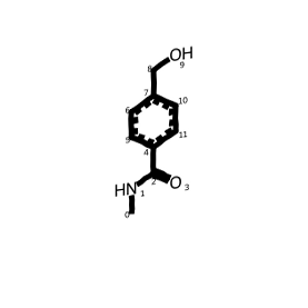 CNC(=O)c1ccc(CO)cc1